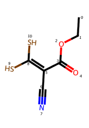 CCOC(=O)C(C#N)=C(S)S